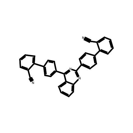 N#Cc1ccccc1-c1ccc(-c2nc(-c3ccc(-c4ccccc4C#N)cc3)c3ccccc3n2)cc1